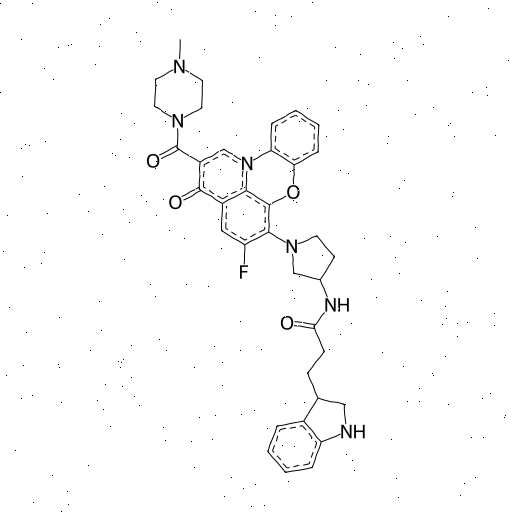 CN1CCN(C(=O)c2cn3c4c(c(N5CCC(NC(=O)CCC6CNc7ccccc76)C5)c(F)cc4c2=O)Oc2ccccc2-3)CC1